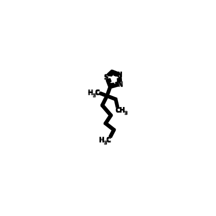 CCCCCC(C)(CC)c1nncs1